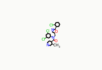 Cc1cnccc1C(=O)N(Cc1cnc(-c2ccccc2Cl)o1)c1cc(Cl)cc(Cl)c1